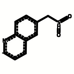 O=[SH](=O)Cc1ccc2n[c]ccc2c1